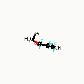 CC(C)CCCC(C)CCOc1cc(F)c(C#Cc2ccc(-c3cc(F)c(C#N)c(F)c3F)c(F)c2)c(F)c1